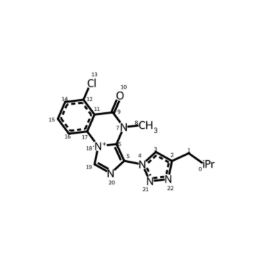 CC(C)Cc1cn(C2=C3N(C)C(=O)c4c(Cl)cccc4[N+]3C=N2)nn1